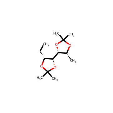 CC[C@H]1OC(C)(C)O[C@H]1[C@@H]1OC(C)(C)O[C@@H]1C